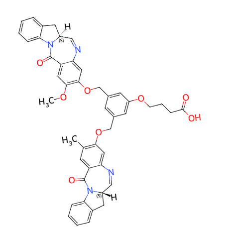 COc1cc2c(cc1OCc1cc(COc3cc4c(cc3C)C(=O)N3c5ccccc5C[C@H]3C=N4)cc(OCCCC(=O)O)c1)N=C[C@@H]1Cc3ccccc3N1C2=O